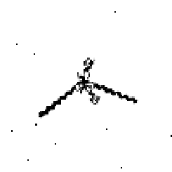 CCCCCCCCCCCCOCC(COCCCCCCCCCCCC)(C(I)OCC[N+](C)(C)C)C(I)OCC[N+](C)(C)C